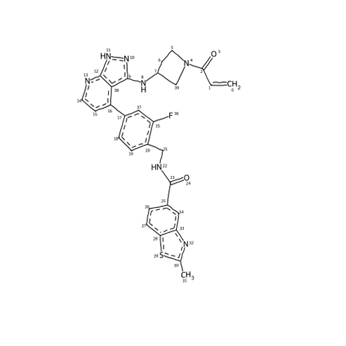 C=CC(=O)N1CCC(Nc2n[nH]c3nccc(-c4ccc(CNC(=O)c5ccc6sc(C)nc6c5)c(F)c4)c23)C1